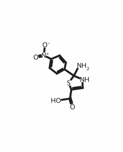 NC1(c2ccc([N+](=O)[O-])cc2)NC=C(C(=O)O)S1